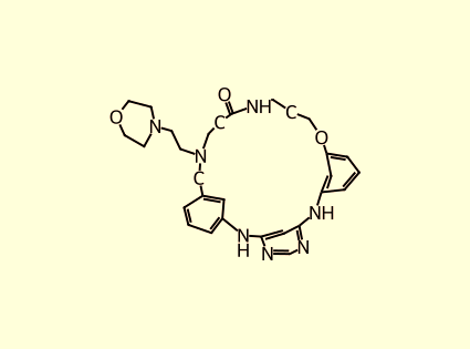 O=C1CCN(CCN2CCOCC2)Cc2cccc(c2)Nc2cc(ncn2)Nc2cccc(c2)OCCCN1